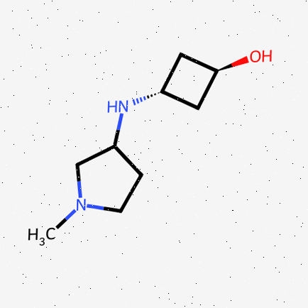 CN1CCC(N[C@H]2C[C@H](O)C2)C1